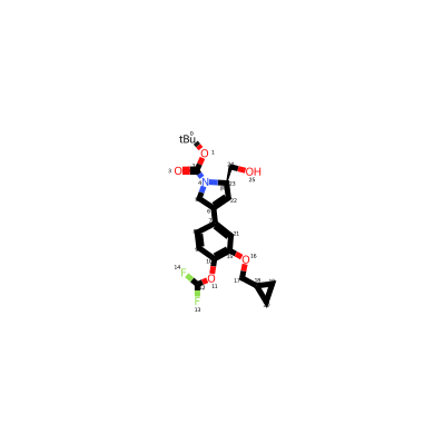 CC(C)(C)OC(=O)N1CC(c2ccc(OC(F)F)c(OCC3CC3)c2)=C[C@@H]1CO